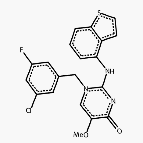 COc1cn(Cc2cc(F)cc(Cl)c2)c(Nc2cccc3sccc23)nc1=O